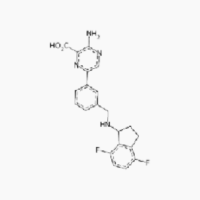 Nc1ncc(-c2cccc(CNC3CCc4c(F)ccc(F)c43)c2)nc1C(=O)O